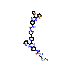 COCCNC(=O)Nc1ccc2nc(-c3ccccn3)c(-c3ccc(C4CCN(C(=S)Nc5ccc6nc(-c7cccs7)c(-c7cccs7)nc6c5)CC4)cn3)nc2c1